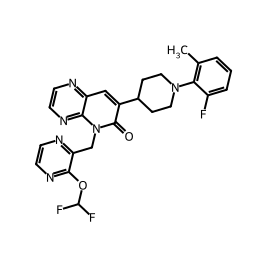 Cc1cccc(F)c1N1CCC(c2cc3nccnc3n(Cc3nccnc3OC(F)F)c2=O)CC1